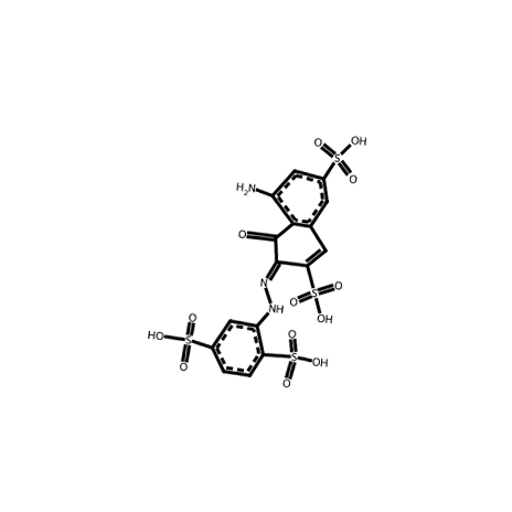 Nc1cc(S(=O)(=O)O)cc2c1C(=O)/C(=N/Nc1cc(S(=O)(=O)O)ccc1S(=O)(=O)O)C(S(=O)(=O)O)=C2